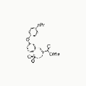 CCCc1ccc(Oc2ccc3c(c2)C=C(C(=O)OC)CCS3(=O)=O)cc1